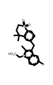 Cc1c(Cc2ccc3c(c2)C(C)(C)CCS3(=O)=O)c2cc(F)ccc2n1CC(=O)O